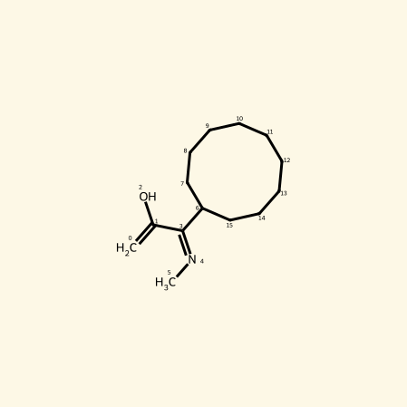 C=C(O)/C(=N\C)C1CCCCCCCCC1